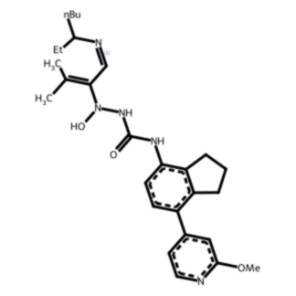 CCCCC(CC)/N=C\C(=C(C)C)N(O)NC(=O)Nc1ccc(-c2ccnc(OC)c2)c2c1CCC2